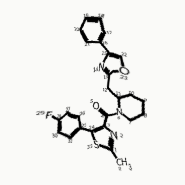 Cc1nc(C(=O)N2CCCCC2Cc2nc(-c3ccccc3)co2)c(-c2ccc(F)cc2)s1